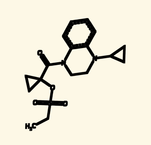 CCS(=O)(=O)OC1(C(=O)N2CCN(C3CC3)c3ccccc32)CC1